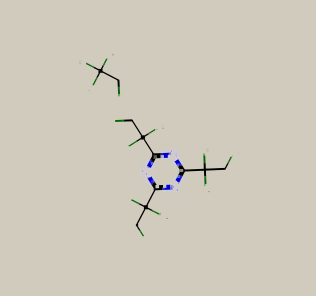 BrCC(Br)(Br)Br.BrCC(Br)(Br)c1nc(C(Br)(Br)CBr)nc(C(Br)(Br)CBr)n1